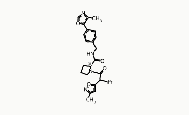 Cc1cc(C(C(=O)N2CCC[C@H]2C(=O)NCc2ccc(-c3ocnc3C)cc2)C(C)C)on1